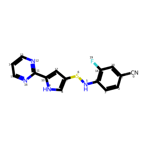 N#Cc1ccc(NSc2c[nH]c(-c3ncccn3)c2)c(F)c1